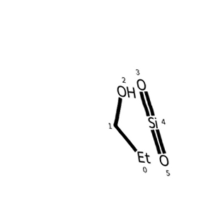 CCCO.O=[Si]=O